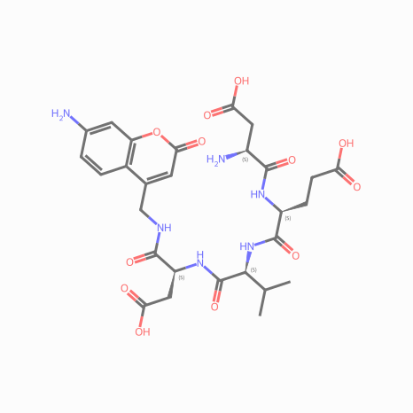 CC(C)[C@H](NC(=O)[C@H](CCC(=O)O)NC(=O)[C@@H](N)CC(=O)O)C(=O)N[C@@H](CC(=O)O)C(=O)NCc1cc(=O)oc2cc(N)ccc12